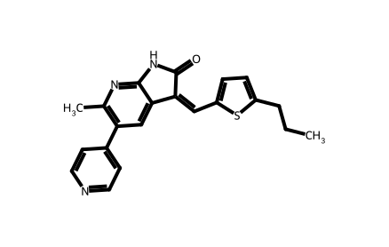 CCCc1ccc(C=C2C(=O)Nc3nc(C)c(-c4ccncc4)cc32)s1